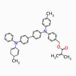 C=C(C)C(=O)OCc1ccc(N(c2ccc(C)cc2)c2ccc(-c3ccc(N(C4=CCC(C)C=C4)c4ccccc4)cc3)cc2)cc1